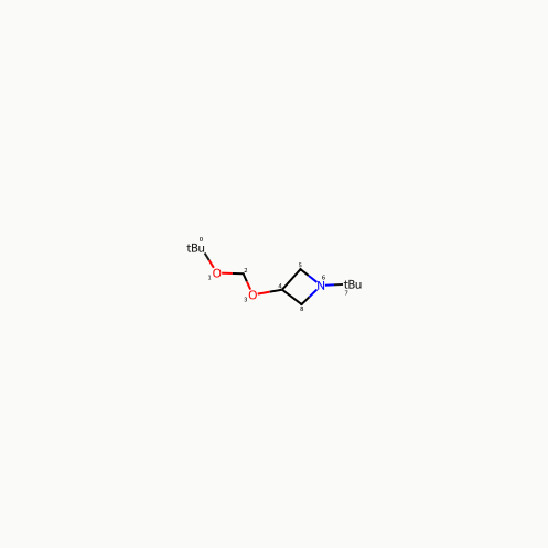 CC(C)(C)OCOC1CN(C(C)(C)C)C1